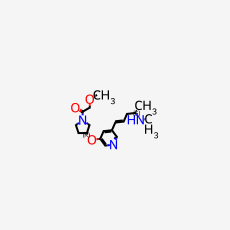 CN[C@@H](C)CC=Cc1cncc(O[C@@H]2CCN(C(=O)COC)C2)c1